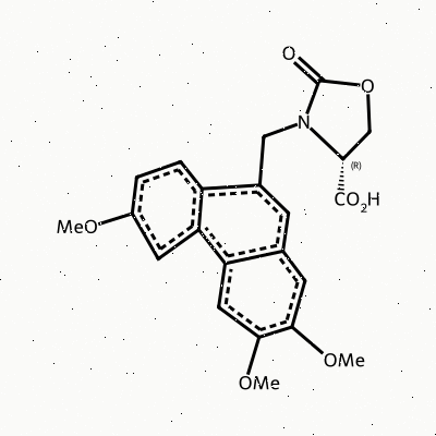 COc1ccc2c(CN3C(=O)OC[C@@H]3C(=O)O)cc3cc(OC)c(OC)cc3c2c1